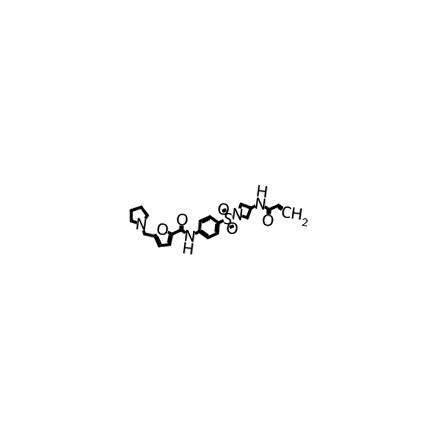 C=CC(=O)NC1CN(S(=O)(=O)c2ccc(NC(=O)c3ccc(CN4CCCC4)o3)cc2)C1